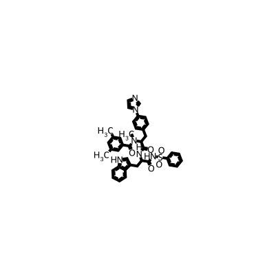 Cc1cc(C)cc(C(=O)N(C)C(Cc2ccc(-n3ccnc3)cc2)C(=O)NC(Cc2c[nH]c3ccccc23)C(=O)NS(=O)(=O)c2ccccc2)c1